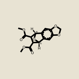 COC(=O)C1C(C(=O)OC)[C@H]2O[C@@H]1c1cc3c(cc12)OCO3